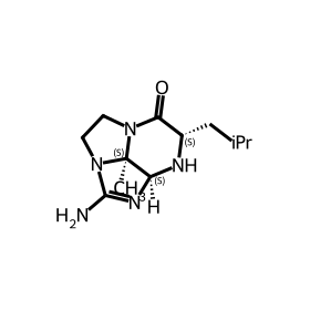 CC(C)C[C@@H]1N[C@H]2N=C(N)N3CCN(C1=O)[C@@]23C